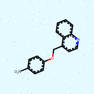 O=[N+]([O-])c1ccc(OCc2ccnc3ccccc23)cc1